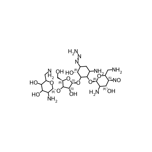 NCC1O[C@H](OC2[C@@H](CO)O[C@@H](OC3C(O[C@H]4OC(CN)[C@@H](N=O)[C@H](O)C4N)C(N)CC(N=NN)[C@H]3O)[C@H]2O)C(N)C(O)C1O